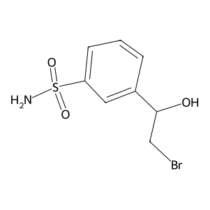 NS(=O)(=O)c1cccc(C(O)CBr)c1